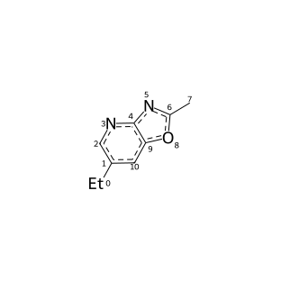 CCc1cnc2nc(C)oc2c1